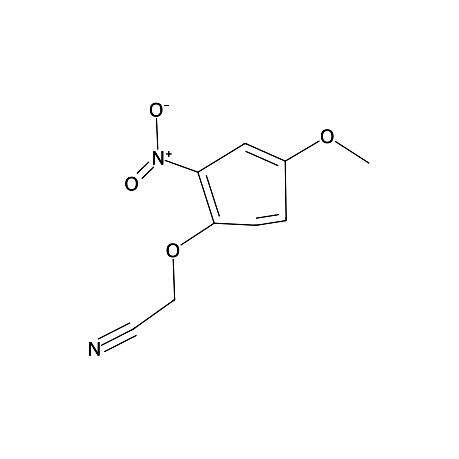 COc1ccc(OCC#N)c([N+](=O)[O-])c1